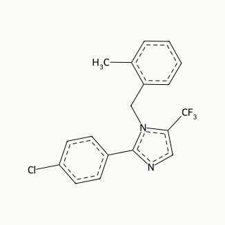 Cc1ccccc1Cn1c(C(F)(F)F)cnc1-c1ccc(Cl)cc1